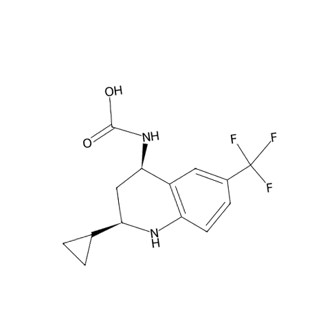 O=C(O)N[C@@H]1C[C@H](C2CC2)Nc2ccc(C(F)(F)F)cc21